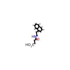 O=C(O)CCC(=O)NCCc1cccc2ccccc12